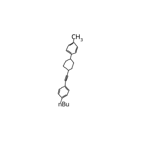 CCCCc1ccc(C#CC2CCC(c3ccc(C)cc3)CC2)cc1